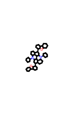 c1ccc(-n2c3cc(-c4cccc5c4oc4ccccc45)c4cccc5c4c3-c3c4c(cccc42)c(-c2cccc4c2oc2ccccc24)cc3n5-c2ccccc2)cc1